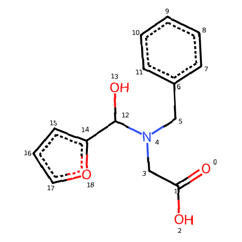 O=C(O)CN(Cc1ccccc1)C(O)c1ccco1